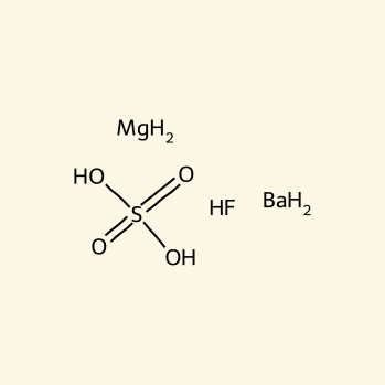 F.O=S(=O)(O)O.[BaH2].[MgH2]